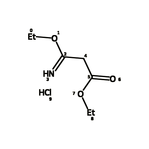 CCOC(=N)CC(=O)OCC.Cl